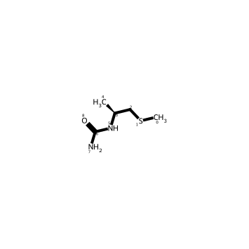 CSC[C@H](C)NC(N)=O